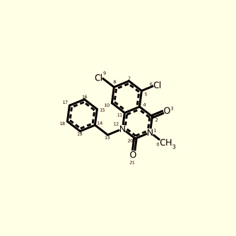 Cn1c(=O)c2c(Cl)cc(Cl)cc2n(Cc2ccccc2)c1=O